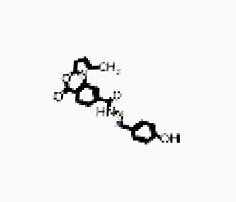 Cc1ccc2oc(=O)c3ccc(C(=O)N/N=C/c4ccc(O)cc4)cc3n12